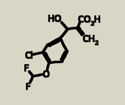 C=C(C(=O)O)C(O)c1ccc(OC(F)F)c(Cl)c1